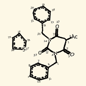 CC(=O)C1C(=O)N(Cc2ccccc2)C(=O)N(Cc2ccccc2)C1=O.c1ccsc1